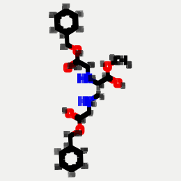 COC(=O)[C@H](CNCC(=O)OCc1ccccc1)NCC(=O)OCc1ccccc1